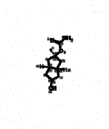 C[C@@]1(OC(N)=O)C[C@H]2C[C@H](O)C[C@H]2C1